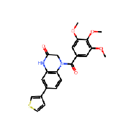 COc1cc(C(=O)N2CC(=O)Nc3cc(-c4ccsc4)ccc32)cc(OC)c1OC